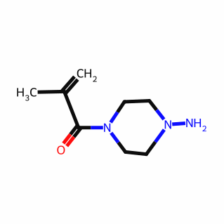 C=C(C)C(=O)N1CCN(N)CC1